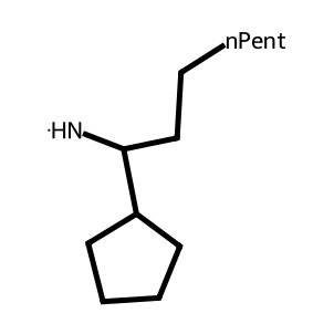 CCCCCCCC([NH])C1CCCC1